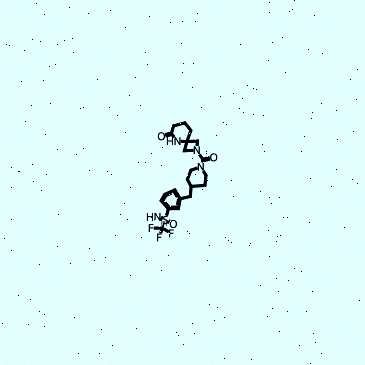 N=[S@@](=O)(c1cccc(CC2CCN(C(=O)N3CC4(CCCC(=O)N4)C3)CC2)c1)C(F)(F)F